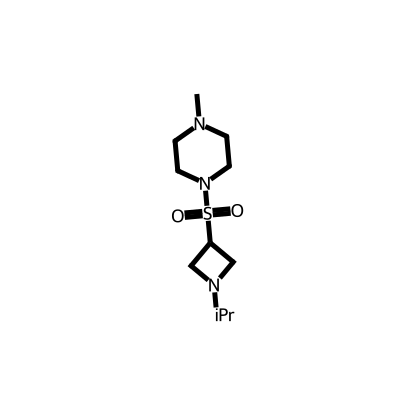 CC(C)N1CC(S(=O)(=O)N2CCN(C)CC2)C1